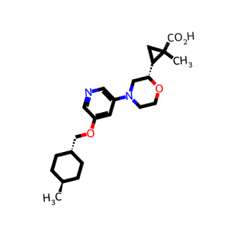 CC1(C(=O)O)CC1[C@H]1CN(c2cncc(OC[C@H]3CC[C@H](C)CC3)c2)CCO1